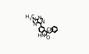 Cn1cnc2c(-c3ccc4c(c3)[C@@](C)(Cc3ccccc3)C(=O)N4)ncnc21